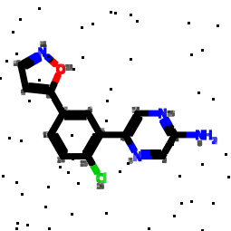 Nc1cnc(-c2cc(-c3ccno3)ccc2Cl)cn1